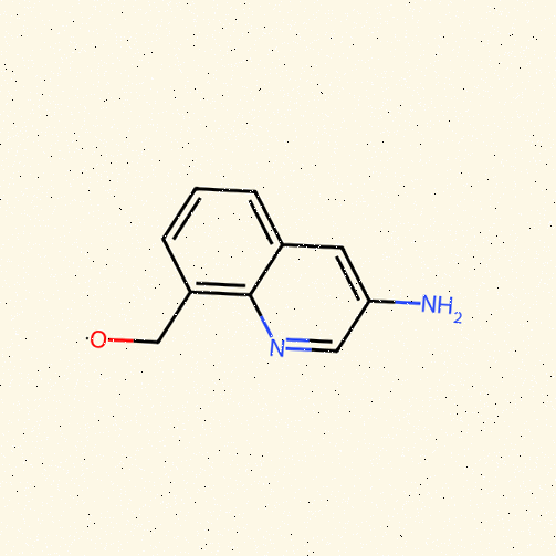 Nc1cnc2c(C[O])cccc2c1